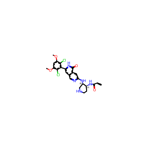 C=CC(=O)N[C@H]1CCNC[C@H]1Nc1cc2c(=O)[nH]c(-c3c(Cl)c(OC)cc(OC)c3Cl)cc2cn1